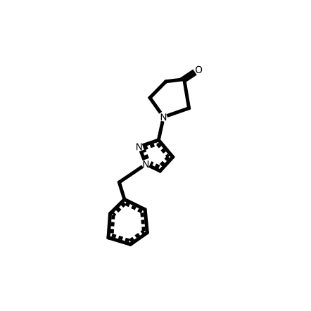 O=C1CCN(c2ccn(Cc3ccccc3)n2)C1